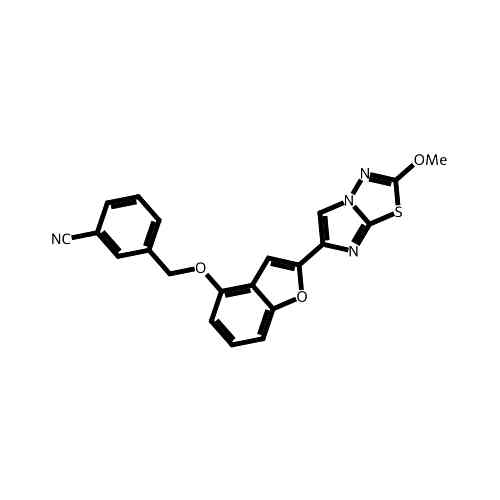 COc1nn2cc(-c3cc4c(OCc5cccc(C#N)c5)cccc4o3)nc2s1